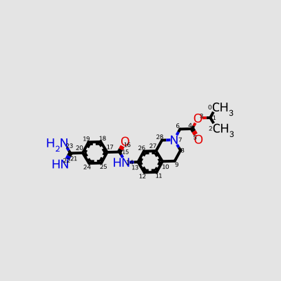 CC(C)OC(=O)CN1CCc2ccc(NC(=O)c3ccc(C(=N)N)cc3)cc2C1